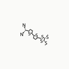 CSC1=C(SC)SC(=c2cc/c(=c3/ccc(=C(C#N)C#N)s3)s2)S1